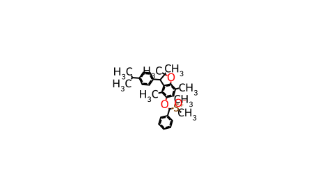 Cc1c(C)c2c(c(C)c1OC(c1ccccc1)[S+](C)[O-])C(c1ccc(C(C)C)cc1)C(C)(C)O2